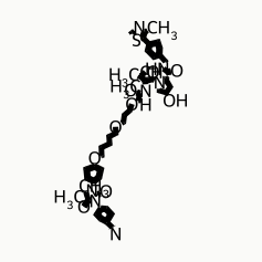 Cc1ncsc1-c1ccc(CNC(=O)[C@@H]2C[C@@H](O)CN2C(=O)C(NC(=O)COCCCOCCCCCOc2ccc(N3C(=O)N(c4ccc(C#N)cc4)C(=O)C3(C)C)cc2)C(C)(C)C)cc1